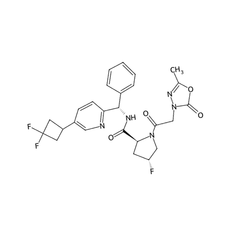 Cc1nn(CC(=O)N2C[C@H](F)C[C@H]2C(=O)N[C@@H](c2ccccc2)c2ccc(C3CC(F)(F)C3)cn2)c(=O)o1